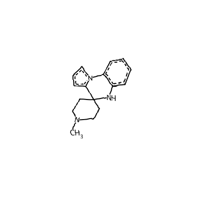 CN1CCC2(CC1)Nc1ccccc1-n1cccc12